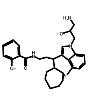 NCC(O)Cn1cc(C(CCNC(=O)c2ccccc2O)C2CCCCCC2)c2c(Br)cccc21